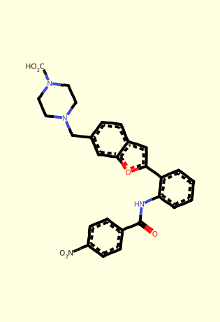 O=C(Nc1ccccc1-c1cc2ccc(CN3CCN(C(=O)O)CC3)cc2o1)c1ccc([N+](=O)[O-])cc1